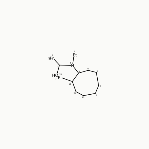 CCCC(O)N(CC)C1CCCCCCC1CC